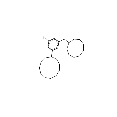 Fc1cc(CC2CCCCCCCC2)cc(C2CCCCCCCCCC2)c1